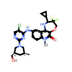 CCn1c(=O)c2c(c3cc(Nc4nc(N5C[C@@H](C)C[C@@H](CO)C5)ncc4Cl)ccc31)NC(C1CC1)C(F)(F)CO2